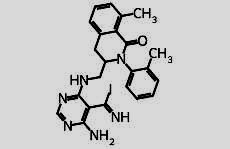 Cc1ccccc1N1C(=O)c2c(C)cccc2CC1CNc1ncnc(N)c1C(=N)I